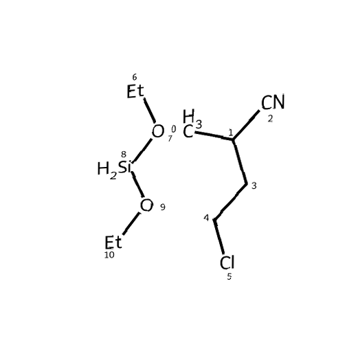 CC(C#N)CCCl.CCO[SiH2]OCC